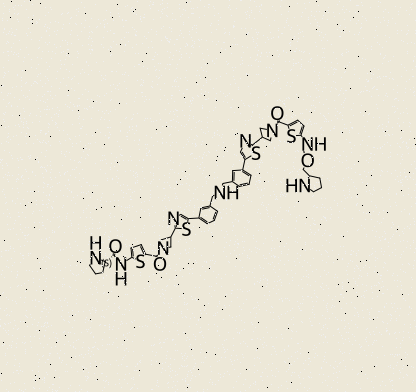 O=C(Nc1ccc(C(=O)N2CC(c3ncc(-c4cccc(CNCc5cccc(-c6cnc(C7CN(C(=O)c8ccc(NCOCC9CCCN9)s8)C7)s6)c5)c4)s3)C2)s1)[C@@H]1CCCN1